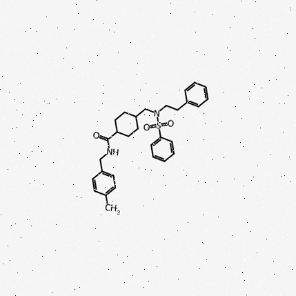 Cc1ccc(CNC(=O)C2CCC(CN(CCc3ccccc3)S(=O)(=O)c3ccccc3)CC2)cc1